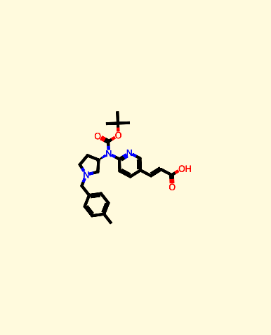 Cc1ccc(CN2CC[C@@H](N(C(=O)OC(C)(C)C)c3ccc(/C=C/C(=O)O)cn3)C2)cc1